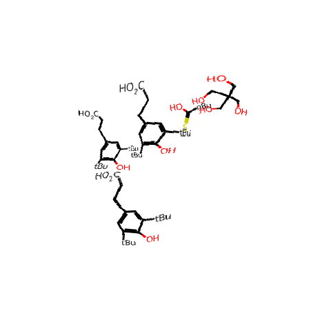 CC(C)(C)c1cc(CCC(=O)O)cc(C(C)(C)C)c1O.CC(C)(C)c1cc(CCC(=O)O)cc(C(C)(C)C)c1O.CC(C)(C)c1cc(CCC(=O)O)cc(C(C)(C)C)c1O.CCCCC(O)=S.OCC(CO)(CO)CO